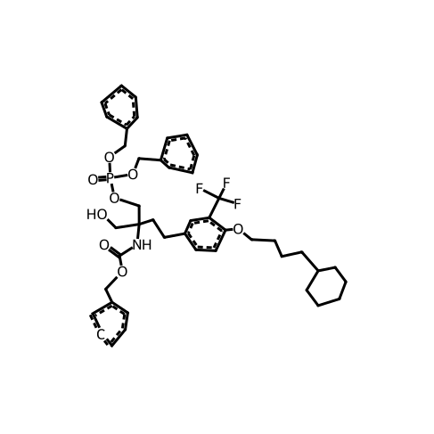 O=C(NC(CO)(CCc1ccc(OCCCCC2CCCCC2)c(C(F)(F)F)c1)COP(=O)(OCc1ccccc1)OCc1ccccc1)OCc1ccccc1